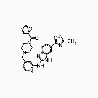 Cc1noc(-c2ccc3nc(Nc4cc(CN5CCN(C(=O)c6ccco6)CC5)ccn4)[nH]c3c2)n1